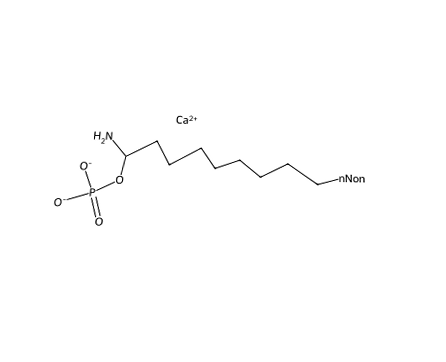 CCCCCCCCCCCCCCCCCC(N)OP(=O)([O-])[O-].[Ca+2]